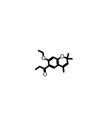 CCOc1cc2c(cc1C(=O)CC)C(C)=CC(C)(C)O2